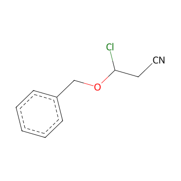 N#CCC(Cl)OCc1ccccc1